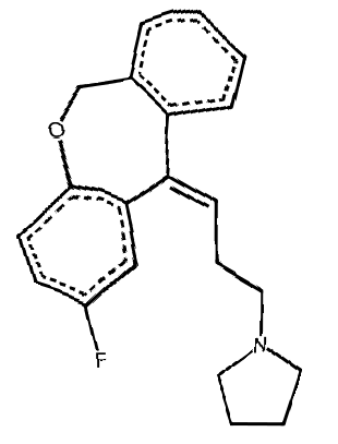 Fc1ccc2c(c1)C(=CCCN1CCCC1)c1ccccc1CO2